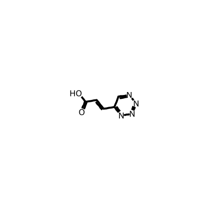 O=C(O)C=Cc1cnnnn1